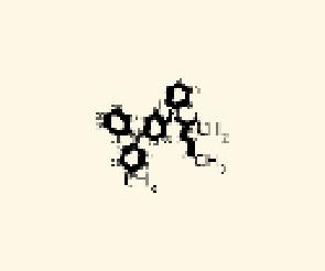 C=C/C(=C\C=C\C)N(C1=CCCC=C1)C1=CC=C(N(C2=CCC(C)C=C2)C2C=CC=CC2)CC1